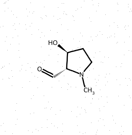 CN1CC[C@H](O)[C@H]1C=O